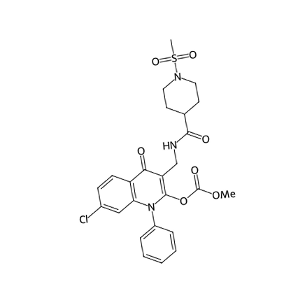 COC(=O)Oc1c(CNC(=O)C2CCN(S(C)(=O)=O)CC2)c(=O)c2ccc(Cl)cc2n1-c1ccccc1